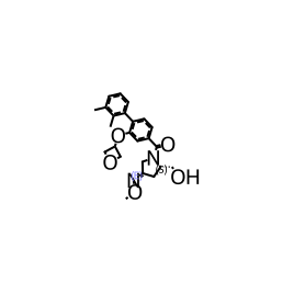 CO/N=C1\C[C@@H](CO)N(C(=O)c2ccc(-c3cccc(C)c3C)c(OC3COC3)c2)C1